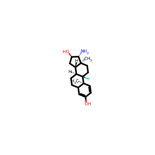 C[C@]12CC[C@@]3(F)[C@@H](CCC4C=C(O)C=C[C@@]43C)[C@@H]1C[C@@H](O)[C@@H]2N